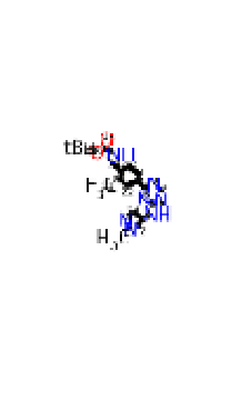 Cn1cc(Nc2ncnc(-c3ccc(CNC(=O)OC(C)(C)C)c(C(F)(F)F)c3)n2)cn1